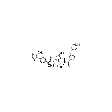 Cc1ncsc1-c1ccc([C@H](C)NC(=O)[C@@H]2C[C@@H](O)CN2C(=O)C(NC(=O)c2cccc(OC3CCNCC3)c2)C(C)(C)C)cc1